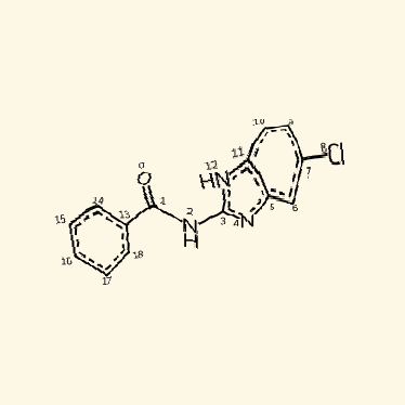 O=C(Nc1nc2cc(Cl)ccc2[nH]1)c1ccccc1